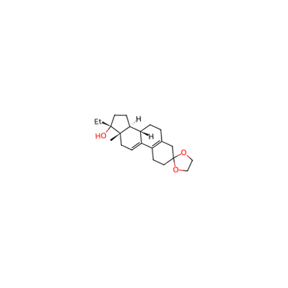 CC[C@@]1(O)CC[C@H]2[C@@H]3CCC4=C(CCC5(C4)OCCO5)C3=CC[C@@]21C